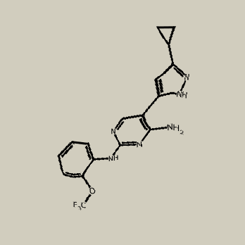 Nc1nc(Nc2ccccc2OC(F)(F)F)ncc1-c1cc(C2CC2)n[nH]1